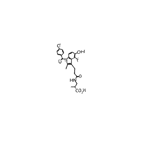 Cc1c(CCC(=O)NC[C@H](C)C(=O)O)c2c(F)c(O)ccc2n1C(=O)c1ccc(Cl)cc1